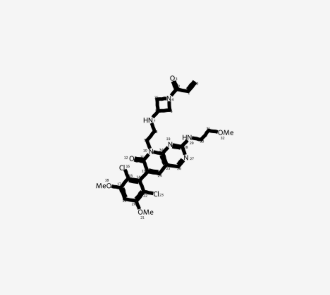 C=CC(=O)N1CC(NCCn2c(=O)c(-c3c(Cl)c(OC)cc(OC)c3Cl)cc3cnc(NCCOC)nc32)C1